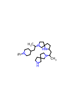 CC(C)N1CCC(CC(C)N2CCC3(CCC(CC(C)N4CCC5(CCNC5)C4)N3)C2)CC1